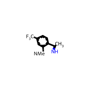 CNc1cc(C(F)(F)F)ccc1C(C)=N